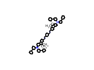 CC1(C)c2cc(/C=C/c3ccc(/C=C/c4ccc5c(c4)C(C)(C)c4cc(N(c6cccc(-c7ccccc7)c6)c6cccc(-c7ccccc7)c6)ccc4-5)cc3)ccc2-c2ccc(N(c3cccc(-c4ccccc4)c3)c3cccc(-c4ccccc4)c3)cc21